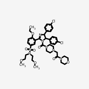 CCOc1ccc(S(=O)(=O)N(CCOC)CCOC)cc1C1=NC(c2ccc(Cl)cc2)C(c2ccc(Cl)cc2)N1C(=O)N1CCN(CC(=O)N2CCOCC2)CC1